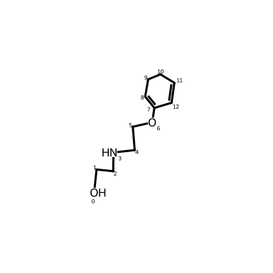 OCCNCCOC1=CCCC=C1